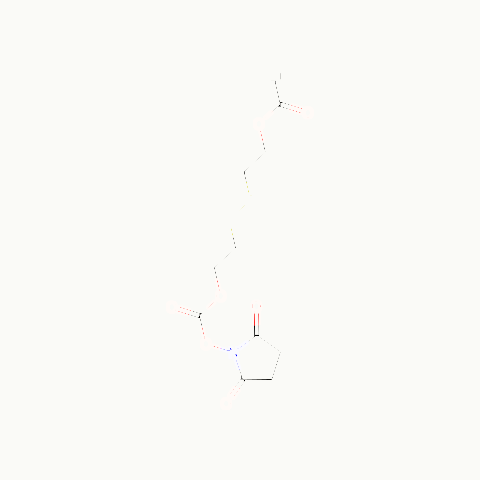 CCC(=O)OCCSSCCOC(=O)ON1C(=O)CCC1=O